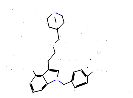 COc1ccc(Cn2cc(CCNCC34CCN(CC3)CC4)c3c(C(=O)O)cccc32)cc1.[LiH]